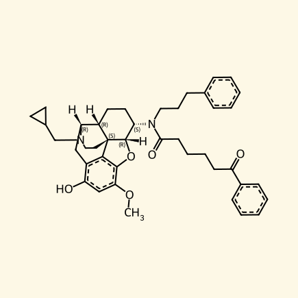 COc1cc(O)c2c3c1O[C@H]1[C@@H](N(CCCc4ccccc4)C(=O)CCCCC(=O)c4ccccc4)CC[C@H]4[C@@H](C2)N(CC2CC2)CC[C@@]341